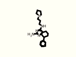 Nc1nc(NCCCN2CCCC2)c2c(n1)C(c1ccccc1)CCC2